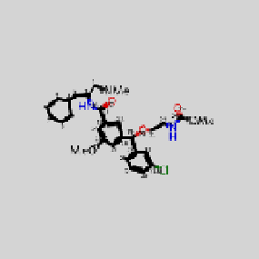 CNC[C@H](CC1CCCCC1)NC(=O)c1cc(OC)cc(C(OCCNC(=O)OC)c2cccc(Cl)c2)c1